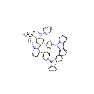 CC1(C)CCN(c2ccccc2)c2cc3c(cc21)-c1ncccc1-c1ccc(-n2c4ccccc4c4ccccc42)cc1-c1cc(-n2c4ccccc4c4ccccc42)ccc1-3